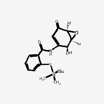 CC(C)(C)[Si](C)(C)Oc1ccccc1C(=O)NC1=CC(=O)[C@H]2O[C@H]2[C@H]1O